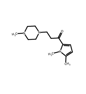 Cc1ccc(C(=O)CCN2CCN(C)CC2)n1C